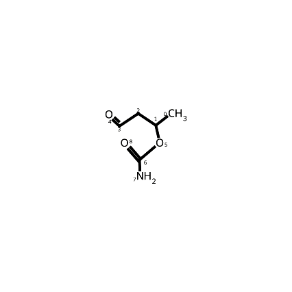 CC(CC=O)OC(N)=O